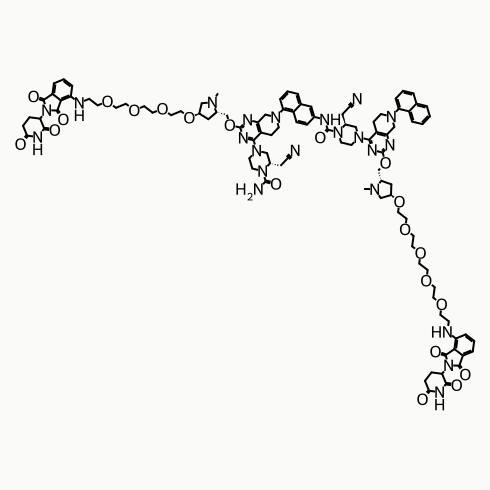 CN1C[C@H](OCCOCCOCCOCCNc2cccc3c2C(=O)N(C2CCC(=O)NC2=O)C3=O)C[C@H]1COc1nc2c(c(N3CCN(C(N)=O)[C@@H](CC#N)C3)n1)CCN(c1cccc3cc(NC(=O)N4CCN(c5nc(OC[C@@H]6C[C@@H](OCCOCCOCCOCCOCCNc7cccc8c7C(=O)N(C7CCC(=O)NC7=O)C8=O)CN6C)nc6c5CCN(c5cccc7ccccc57)C6)C[C@@H]4CC#N)ccc13)C2